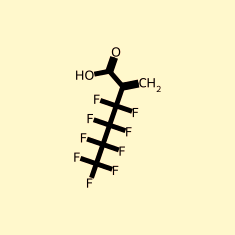 C=C(C(=O)O)C(F)(F)C(F)(F)C(F)(F)C(F)(F)F